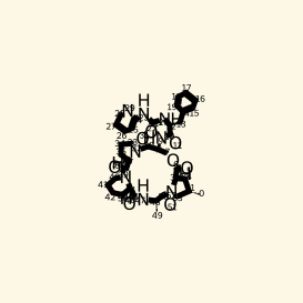 C[C@H]1C[C@H]2C(=O)OC[C@H](NC(=O)[C@H](Cc3ccccc3)NC(=O)Nc3ccccn3)C(=O)N3CCC[C@H]3C(=O)N3CCCC[C@H]3C(=O)N[C@@H](C)C(=O)N2C1